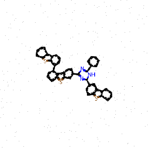 c1ccc(C2=NC(c3ccc4c(c3)sc3cccc(-c5cccc6c5sc5ccccc56)c34)=NC(c3ccc4sc5ccccc5c4c3)N2)cc1